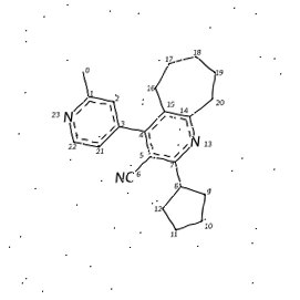 Cc1cc(-c2c(C#N)c(C3CCCC3)nc3c2CCCCC3)ccn1